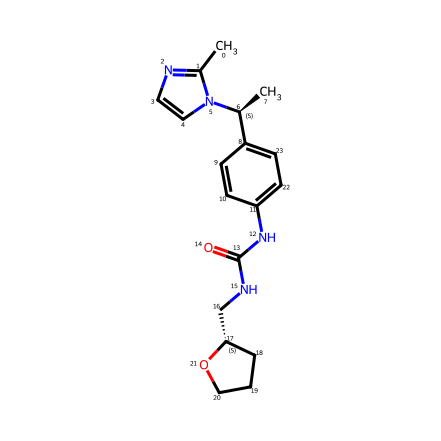 Cc1nccn1[C@@H](C)c1ccc(NC(=O)NC[C@@H]2CCCO2)cc1